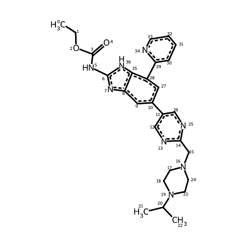 CCOC(=O)Nc1nc2cc(-c3cnc(CN4CCN(C(C)C)CC4)nc3)cc(-c3ccccn3)c2[nH]1